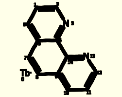 [Tb].c1cnc2c(c1)ccc1cccnc12